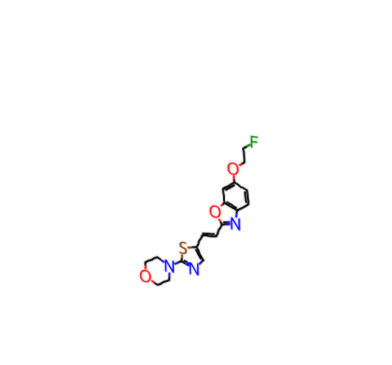 FCCOc1ccc2nc(C=Cc3cnc(N4CCOCC4)s3)oc2c1